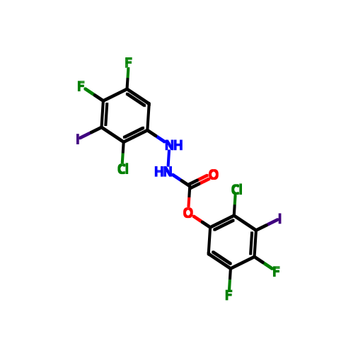 O=C(NNc1cc(F)c(F)c(I)c1Cl)Oc1cc(F)c(F)c(I)c1Cl